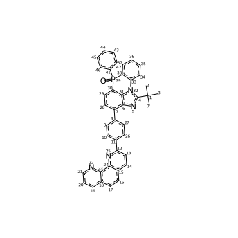 CC(C)(C)c1nc2c(-c3ccc(-c4ccc5ccc6cccnc6c5n4)cc3)ccc3c2n1-c1ccccc1P3(=O)c1ccccc1